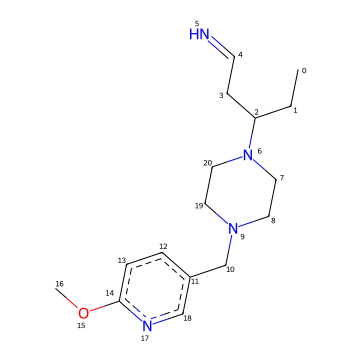 CCC(CC=N)N1CCN(Cc2ccc(OC)nc2)CC1